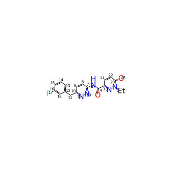 CCn1nc(C(=O)Nc2ccc(Cc3cccc(F)c3)nn2)ccc1=O